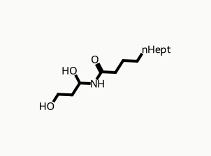 CCCCCCCCCCC(=O)NC(O)CCO